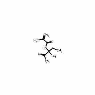 C=C(C)C(=O)NC(O)(CC)C(=O)O